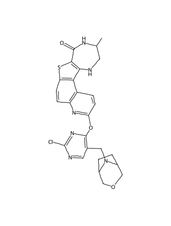 CC1CNc2c(sc3ccc4nc(Oc5nc(Cl)ncc5CN5C6CCC5COC6)ccc4c23)C(=O)N1